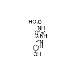 CN[C@@H](Cc1ccc(O)cc1)C(=O)N[C@H](C)C(=O)NCC(=O)O